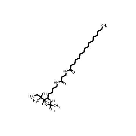 CCCCCCCCCCCCCCCC(=O)NCCC(=O)NCCCCC(NC(C)(C)C)C(=O)C(C)(C)CC